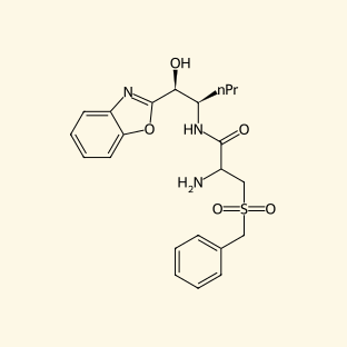 CCC[C@@H](NC(=O)C(N)CS(=O)(=O)Cc1ccccc1)[C@H](O)c1nc2ccccc2o1